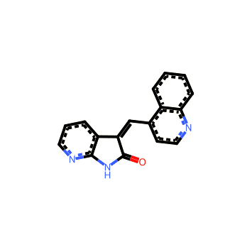 O=C1Nc2ncccc2C1=Cc1ccnc2ccccc12